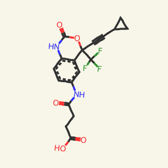 O=C(O)CCC(=O)Nc1ccc2c(c1)C(C#CC1CC1)(C(F)(F)F)OC(=O)N2